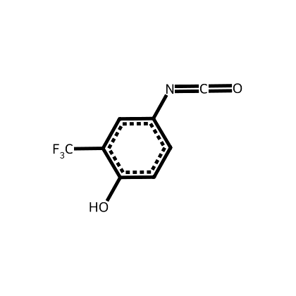 O=C=Nc1ccc(O)c(C(F)(F)F)c1